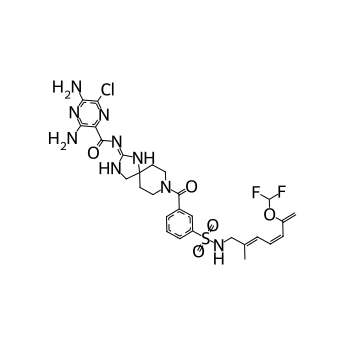 C=C(/C=C\C=C(/C)CNS(=O)(=O)c1cccc(C(=O)N2CCC3(CC2)CN/C(=N\C(=O)c2nc(Cl)c(N)nc2N)N3)c1)OC(F)F